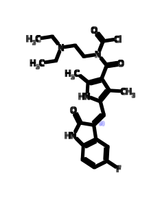 CCN(CC)CCN(C(=O)Cl)C(=O)c1c(C)[nH]c(/C=C2\C(=O)Nc3ccc(F)cc32)c1C